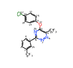 FC(F)(F)c1cccc(-c2nnc(C(F)(F)F)c(Oc3ccc(Cl)cc3)n2)c1